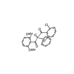 COc1cccc(OC)c1C(=O)P(=O)(C(=O)c1c(Cl)cccc1Cl)c1ccccc1